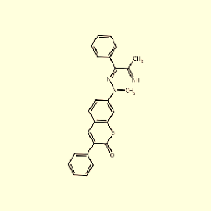 CC(=N)/C(=N\N(C)c1ccc2cc(-c3ccccc3)c(=O)oc2c1)c1ccccc1